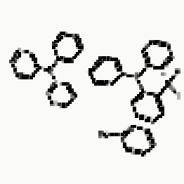 FC(F)(F)c1ccccc1P(c1ccccc1)c1ccccc1.[Pd][c]1ccccc1.c1ccc(P(c2ccccc2)c2ccccc2)cc1